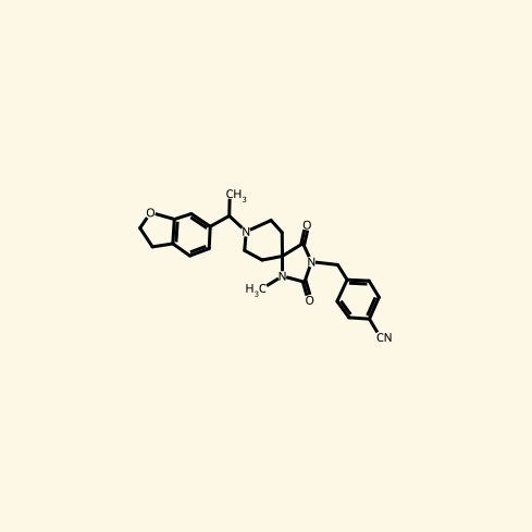 CC(c1ccc2c(c1)OCC2)N1CCC2(CC1)C(=O)N(Cc1ccc(C#N)cc1)C(=O)N2C